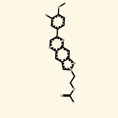 COc1ccc(-c2cnc3cc4cn(CCOC(C)=O)nc4cc3n2)cc1F